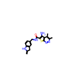 C=C1Cc2cc(CNC(=O)c3sc4nnc(C)c(C)c4c3N)ccc2N1